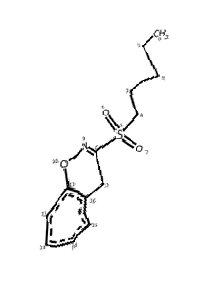 CCCCCS(=O)(=O)C1=NOc2ccccc2C1